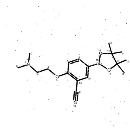 CN(C)CCOc1ccc(B2OC(C)(C)C(C)(C)O2)cc1C#N